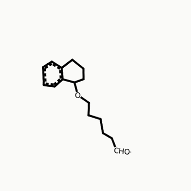 O=[C]CCCCCOC1CCCc2ccccc21